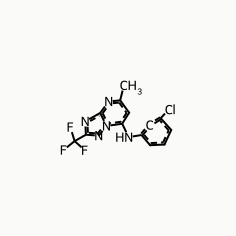 Cc1cc(Nc2cccc(Cl)c2)n2nc(C(F)(F)F)nc2n1